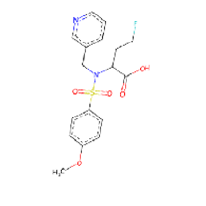 COc1ccc(S(=O)(=O)N(Cc2cccnc2)C(CCF)C(=O)O)cc1